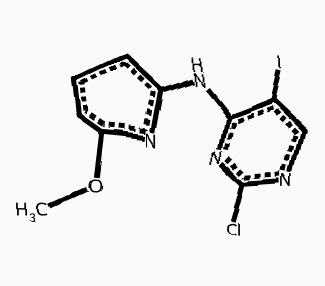 COc1cccc(Nc2nc(Cl)ncc2I)n1